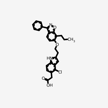 CCCc1c(OCCc2cc3c(Cl)c(CC(=O)O)ccc3[nH]2)ccc2c(-c3ccccc3)noc12